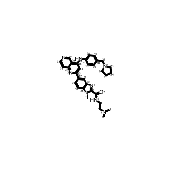 CN(C)CCNC(=O)c1nc2cc(-c3cc(Nc4ccc(CN5CCCC5)cc4)c4cnccc4n3)ccc2[nH]1